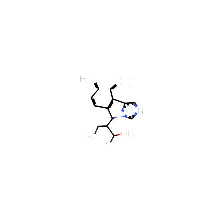 C=C/C=C\C1=C(C=C)c2cncn2C1C(CC(C)C)C(O)C(C)C